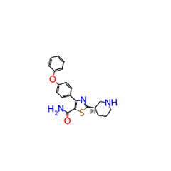 NC(=O)c1sc([C@@H]2CCCNC2)nc1-c1ccc(Oc2ccccc2)cc1